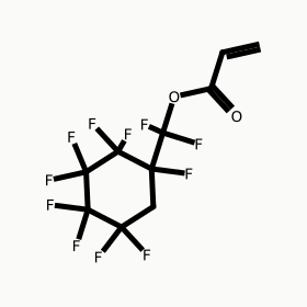 C=CC(=O)OC(F)(F)C1(F)CC(F)(F)C(F)(F)C(F)(F)C1(F)F